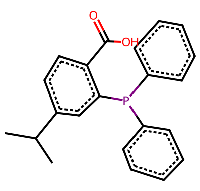 CC(C)c1ccc(C(=O)O)c(P(c2ccccc2)c2ccccc2)c1